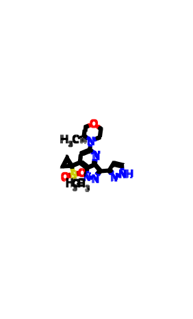 C[C@@H]1COCCN1c1cc(C2(S(C)(=O)=O)CC2)c2c(n1)c(-c1cc[nH]n1)nn2C